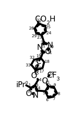 CC(C)c1onc(-c2ccccc2OC(F)(F)F)c1COC12CCC(c3nc(-c4ccc(C(=O)O)cc4)no3)(CC1)CC2